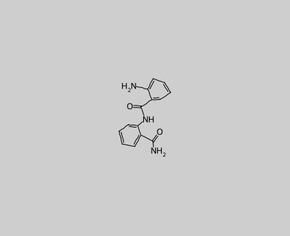 NC(=O)c1ccccc1NC(=O)c1ccccc1N